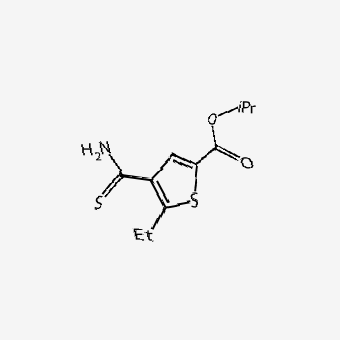 CCc1sc(C(=O)OC(C)C)cc1C(N)=S